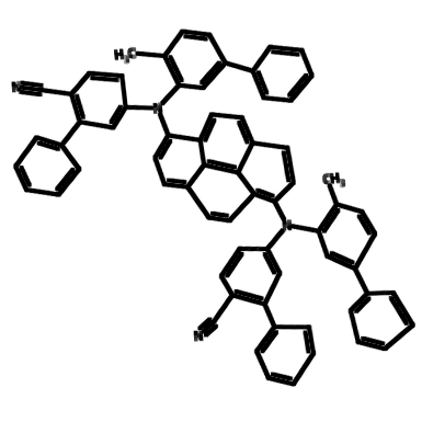 Cc1ccc(-c2ccccc2)cc1N(c1ccc(C#N)c(-c2ccccc2)c1)c1ccc2ccc3c(N(c4ccc(C#N)c(-c5ccccc5)c4)c4cc(-c5ccccc5)ccc4C)ccc4ccc1c2c43